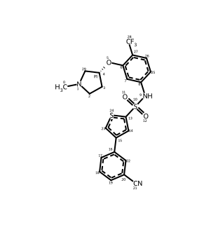 CN1CC[C@@H](Oc2cc(NS(=O)(=O)c3cc(-c4cccc(C#N)c4)cs3)ccc2C(F)(F)F)C1